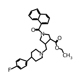 CCOC(=O)C1CN(C(=O)c2cccc3ccccc23)CC1CN1CCC(c2ccc(F)cc2)CC1